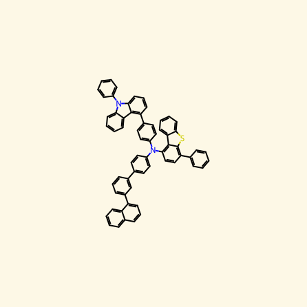 c1ccc(-c2ccc(N(c3ccc(-c4cccc(-c5cccc6ccccc56)c4)cc3)c3ccc(-c4cccc5c4c4ccccc4n5-c4ccccc4)cc3)c3c2sc2ccccc23)cc1